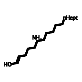 CCCCCCCCCCCCCCCCC=CO.N